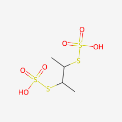 CC(SS(=O)(=O)O)C(C)SS(=O)(=O)O